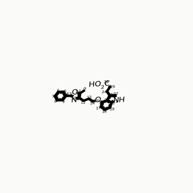 Cc1oc(-c2ccccc2)nc1CCCOc1cccc2[nH]cc(CCC(=O)O)c12